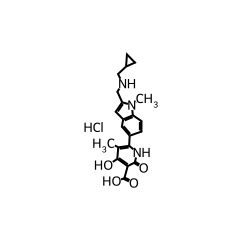 Cc1c(-c2ccc3c(c2)cc(CNCC2CC2)n3C)[nH]c(=O)c(C(=O)O)c1O.Cl